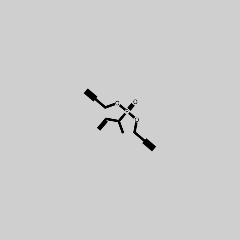 C#CCOP(=O)(OCC#C)C(C)C=C